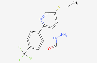 CCSc1ccc(-c2ccc(C(F)(F)F)cc2)nc1.NNC=O